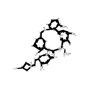 Cc1cc2cc(c1F)[C@H](CC(=O)O)NC(=O)[C@H](n1cc(CCN3CC(F)C3)c(C(F)(F)F)cc1=O)c1cc(ccc1F)COc1cccc(C)c1-2